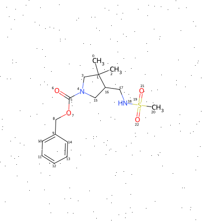 CC1(C)CN(C(=O)OCc2ccccc2)CC1CNS(C)(=O)=O